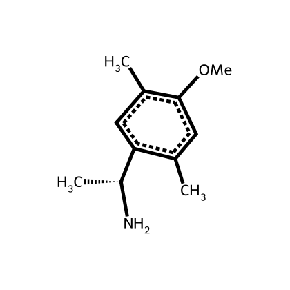 COc1cc(C)c([C@@H](C)N)cc1C